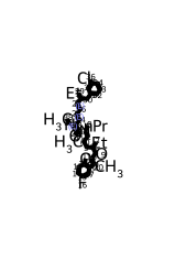 CCCN(C[C@H](C)CC(CC)C(=O)c1oc2ccc(F)cc2c1C)C(=O)C(/C=C/C=C/C(CC)Cc1cccc(Cl)c1)=N/C